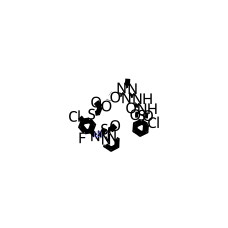 COC(=O)CSc1cc(/N=c2\sc(=O)n3n2CCCC3)c(F)cc1Cl.COc1nc(C)nc(NC(=O)NS(=O)(=O)c2ccccc2Cl)n1